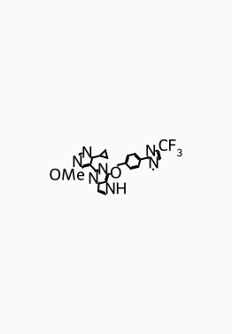 COc1ncnc(C2CC2)c1-c1nc(OCc2ccc(-c3nc(C(F)(F)F)cn3C)cc2)c2[nH]ccc2n1